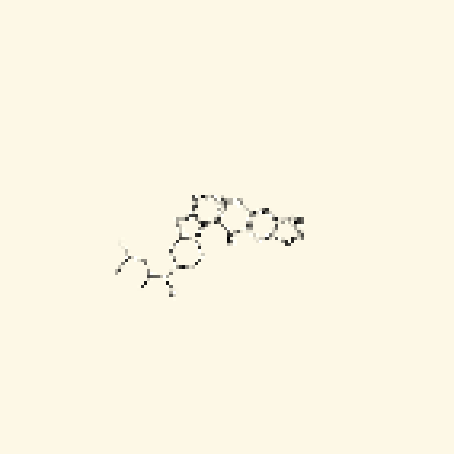 COc1cc2[nH]ncc2cc1Nc1ncnc2sc3c(c12)CCC(C(=O)N(C)CC(F)F)C3